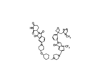 Cn1cnnc1CC1(c2cccc(N3Cc4c(cc(CN5CCN(C[C@H]6CC[C@H](OC7CCN(c8ccc9c(c8)C(=O)N(C8CCC(=O)NC8=O)C9=O)CC7)CC6)CC5)cc4C(F)(F)F)C3=O)c2)COC1